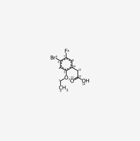 CCOc1cc(Br)c(F)cc1CC(=O)O